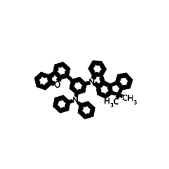 CC1(C)c2ccccc2-c2c1ccc1c2c2ccccc2n1-c1cc(-c2cccc3c2oc2ccccc23)cc(N(c2ccccc2)c2ccccc2)c1